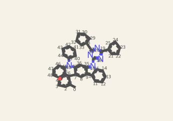 Cc1ccccc1-c1cc2c3ccccc3n(-c3nc(-c4ccccc4)nc(-c4ccccc4)n3)c2cc1N(c1ccccc1)c1ccccc1